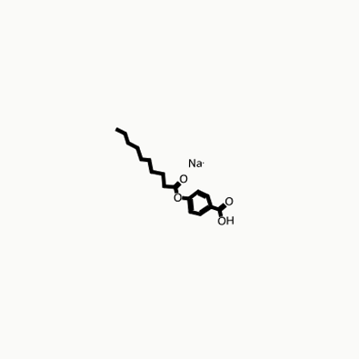 CCCCCCCCCC(=O)Oc1ccc(C(=O)O)cc1.[Na]